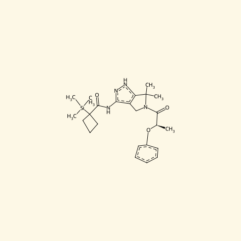 C[C@@H](Oc1ccccc1)C(=O)N1Cc2c(NC(=O)C3([Si](C)(C)C)CCC3)n[nH]c2C1(C)C